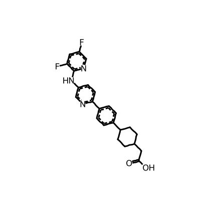 O=C(O)CC1CCC(c2ccc(-c3ccc(Nc4ncc(F)cc4F)cn3)cc2)CC1